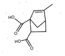 CC1=CC2(C(=O)O)CC1CC2C(=O)O